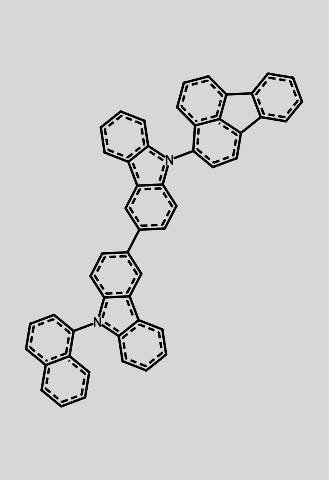 c1ccc2c(c1)-c1cccc3c(-n4c5ccccc5c5cc(-c6ccc7c(c6)c6ccccc6n7-c6cccc7ccccc67)ccc54)ccc-2c13